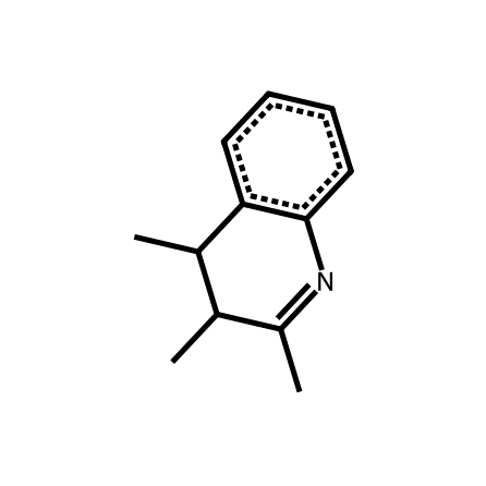 CC1=Nc2ccccc2C(C)C1C